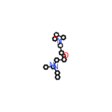 C1=C=C(c2ccccc2N(C2=CC=C(c3ccc4c(c3)oc3cccc(-c5cccc(-c6nc(-c7ccccc7)cc(-c7ccc8ccccc8c7)n6)c5)c34)CC2)c2ccccc2)C=CC=1